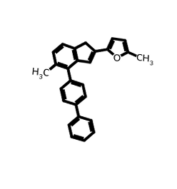 Cc1ccc(C2=Cc3c(ccc(C)c3-c3ccc(-c4ccccc4)cc3)C2)o1